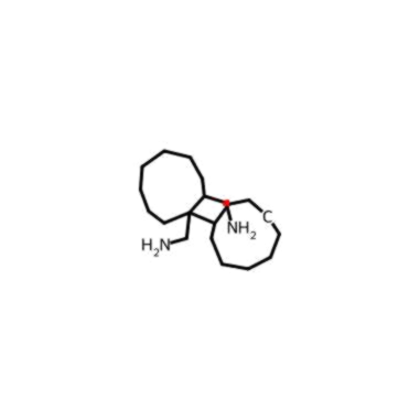 NCC1CCCCCCCC1(CN)C1CCCCCCCC1